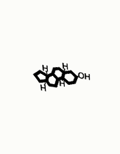 O[C@H]1CC[C@H]2C3CC[C@H]4CCC[C@H]4C3CC[C@H]2C1